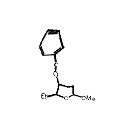 CCC1OC(OC)CC1OCc1ccccc1